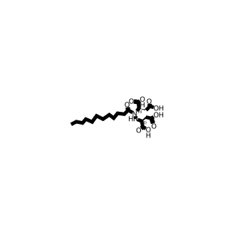 CCCCCCCCCCCC(=O)N(N[C@@H](CC(=O)O)C(=O)O)[C@@H](CC(=O)O)C(=O)O